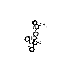 CC(CC(=O)N1CCC(O)(Cn2cc(C(=O)N3CCCCC3)c(-c3ccccc3)cc2=O)CC1)c1ccccc1